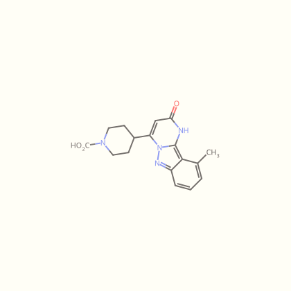 Cc1cccc2nn3c(C4CCN(C(=O)O)CC4)cc(=O)[nH]c3c12